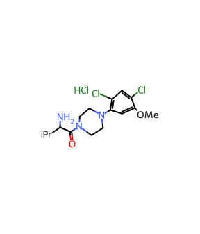 COc1cc(N2CCN(C(=O)C(N)C(C)C)CC2)c(Cl)cc1Cl.Cl